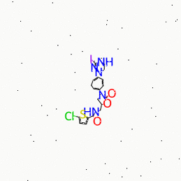 O=C(NCC1CN(C2=CCC=C(N3CCNC(I)=N3)C=C2)C(=O)O1)c1ccc(Cl)s1